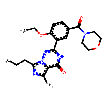 CCCc1nc(C)c2c(=O)[nH]c(-c3cc(C(=O)N4CCOCC4)ccc3OCC)nn12